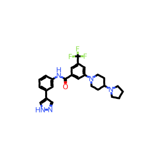 O=C(Nc1cccc(-c2cn[nH]c2)c1)c1cc(N2CCC(N3CCCC3)CC2)cc(C(F)(F)F)c1